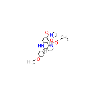 C=CCOC(=O)N1CCC[C@H]2C(c3ccc(OCC)cc3)Nc3ccc(C(=O)N4CCCC4)cc3[C@H]21